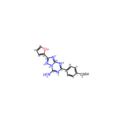 COc1ccc(-c2nc(N)n3nc(-c4ccco4)nc3n2)cc1